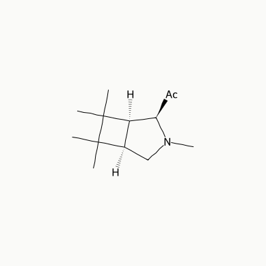 CC(=O)[C@@H]1[C@H]2[C@@H](CN1C)C(C)(C)C2(C)C